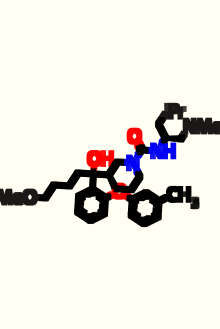 CNC[C@H](CC(C)C)NC(=O)N1CCC[C@@H]([C@@](O)(CCCCOC)c2ccccc2Oc2cccc(C)c2)C1